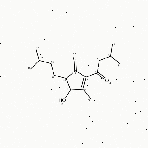 CC1=C(C(=O)CC(C)C)C(=O)C(CCC(C)C)C1O